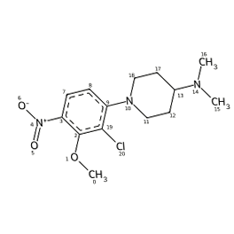 COc1c([N+](=O)[O-])ccc(N2CCC(N(C)C)CC2)c1Cl